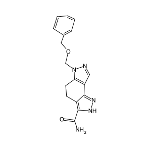 NC(=O)c1[nH]nc2c1CCc1c-2cnn1COCc1ccccc1